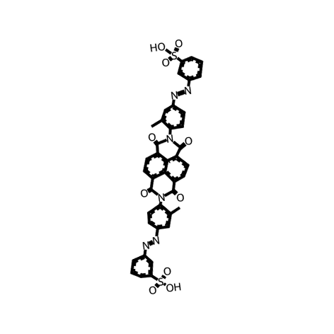 Cc1cc(N=Nc2cccc(S(=O)(=O)O)c2)ccc1N1C(=O)c2ccc3c4c(ccc(c24)C1=O)C(=O)N(c1ccc(N=Nc2cccc(S(=O)(=O)O)c2)cc1C)C3=O